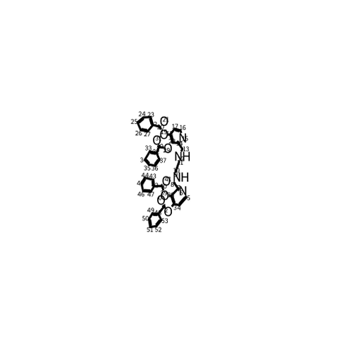 O=C(Oc1ccnc(CNCCNCc2nccc(OC(=O)c3ccccc3)c2OC(=O)c2ccccc2)c1OC(=O)c1ccccc1)c1ccccc1